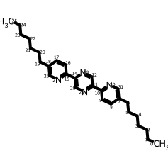 CCCCCCCc1ccc(-c2cnc(-c3ccc(CCCCCCC)cn3)cn2)nc1